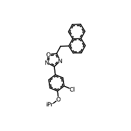 CC(C)Oc1ccc(-c2noc(Cc3cccc4ccccc34)n2)cc1Cl